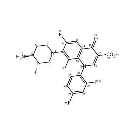 Cc1c(N2CC[C@H](N)[C@@H](C)C2)c(F)cc2c(=O)c(C(=O)O)cn(-c3ccc(F)cc3F)c12